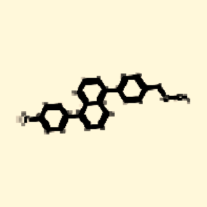 COCc1ccc(-c2cccc3c(-c4ccc(C)cc4)cccc23)cc1